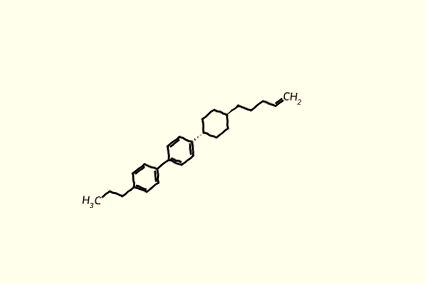 C=CCCC[C@H]1CC[C@H](c2ccc(-c3ccc(CCC)cc3)cc2)CC1